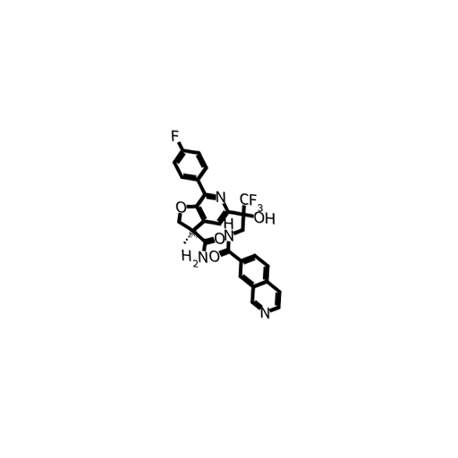 C[C@]1(C(N)=O)COc2c1cc(C(O)(CNC(=O)c1ccc3ccncc3c1)C(F)(F)F)nc2-c1ccc(F)cc1